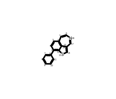 C1=Cc2ccc(-c3ccccc3)c3scc(c23)C=N1